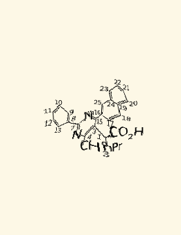 CCCC(C(=O)O)c1c(C)nc(-c2ccccc2)nc1-c1ccc2ccccc2c1